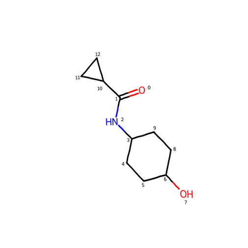 O=C(NC1CCC(O)CC1)C1CC1